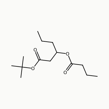 CCCC(=O)OC(CCC)CC(=O)OC(C)(C)C